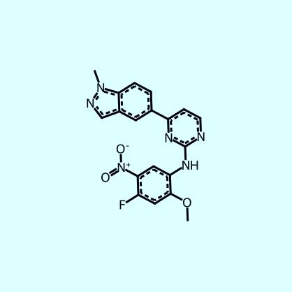 COc1cc(F)c([N+](=O)[O-])cc1Nc1nccc(-c2ccc3c(cnn3C)c2)n1